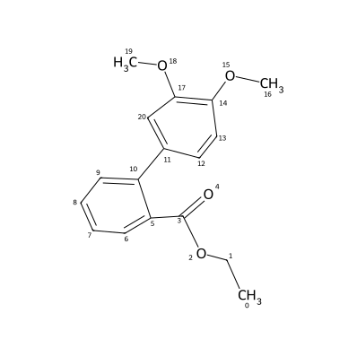 CCOC(=O)c1ccccc1-c1ccc(OC)c(OC)c1